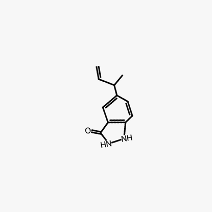 C=CC(C)c1ccc2[nH][nH]c(=O)c2c1